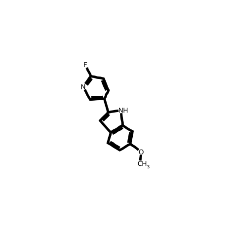 COc1ccc2cc(-c3ccc(F)nc3)[nH]c2c1